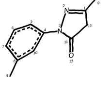 CCCC1=NN(c2cccc(C)c2)C(=O)C1